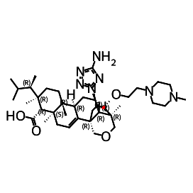 CC(C)[C@@H](C)[C@@]1(C)CC[C@]2(C)[C@H]3CC[C@@H]4[C@@]5(COC[C@]4(C)[C@@H](OCCN4CCN(C)CC4)[C@H](n4nnc(N)n4)C5)C3=CC[C@@]2(C)[C@@H]1C(=O)O